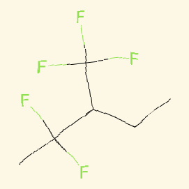 CCC(C(C)(F)F)C(F)(F)F